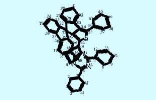 c1ccc(-c2nc(-c3ccccc3)nc(-c3ccc4c(c3)C3(c5ccccc5-4)c4ccccc4-c4c(-c5ccccc5)sc(-c5ccccc5)c43)n2)cc1